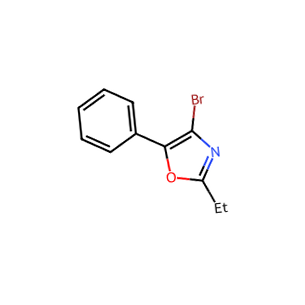 CCc1nc(Br)c(-c2ccccc2)o1